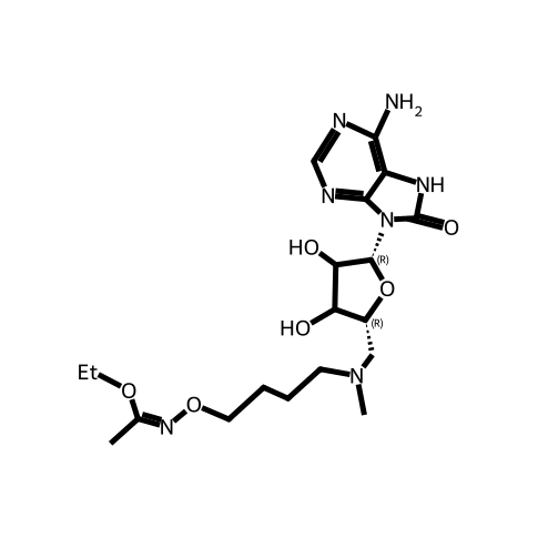 CCOC(C)=NOCCCCN(C)C[C@H]1O[C@@H](n2c(=O)[nH]c3c(N)ncnc32)C(O)C1O